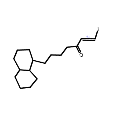 O=C(/C=C/I)CCCCC1CCCC2CCCCC12